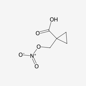 O=C(O)C1(CO[N+](=O)[O-])CC1